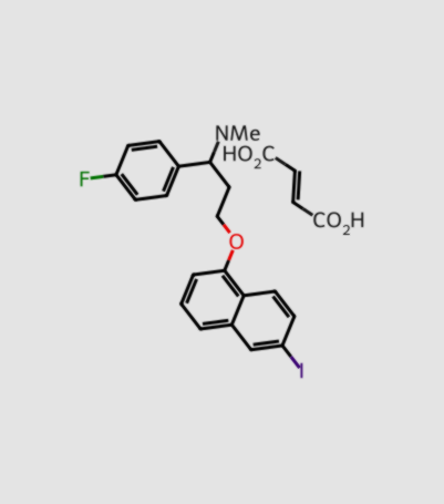 CNC(CCOc1cccc2cc(I)ccc12)c1ccc(F)cc1.O=C(O)C=CC(=O)O